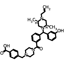 C=CCN1C[C@@H](C)N(C(c2cccc(O)c2)c2cccc(C(=O)N3CCN(Cc4ccc(C(=O)O)cc4)CC3)c2)C[C@H]1C